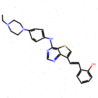 CCN1CCN(c2ccc(Nc3ncnc4c(C=Cc5ccccc5O)csc34)cc2)CC1